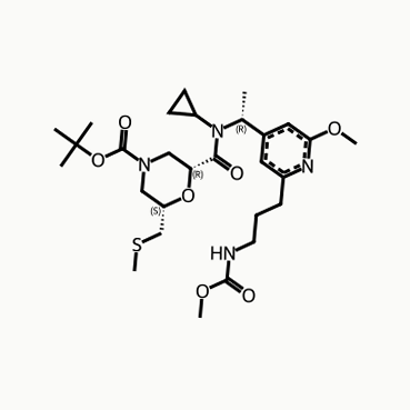 COC(=O)NCCCc1cc([C@@H](C)N(C(=O)[C@H]2CN(C(=O)OC(C)(C)C)C[C@@H](CSC)O2)C2CC2)cc(OC)n1